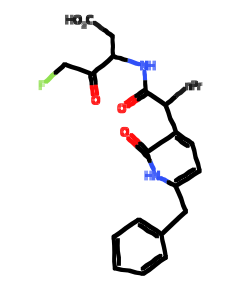 CCCC(C(=O)NC(CC(=O)O)C(=O)CF)c1ccc(Cc2ccccc2)[nH]c1=O